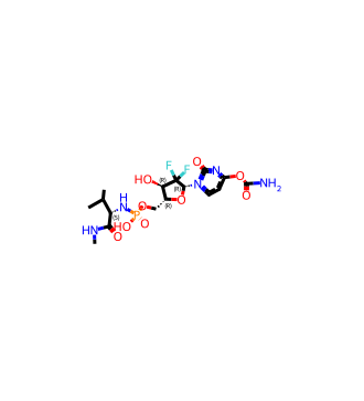 CNC(=O)[C@@H](NP(=O)(O)OC[C@H]1O[C@@H](n2ccc(OC(N)=O)nc2=O)C(F)(F)[C@@H]1O)C(C)C